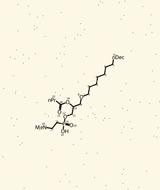 CCCCCCCCCCCCCCCCCOCC(COP(=O)(O)CCNC)OC(=O)CCC